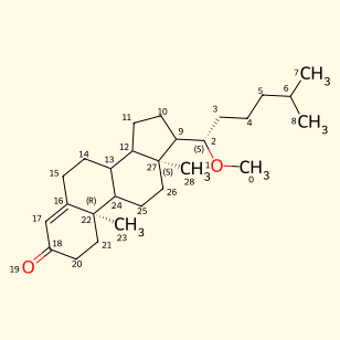 CO[C@@H](CCCC(C)C)C1CCC2C3CCC4=CC(=O)CC[C@]4(C)C3CC[C@@]21C